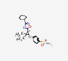 CC1(C)[C@@H](c2ccc(S(N)(=O)=O)cc2)[C@@H]1c1nc(C2CCCCC2)no1